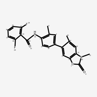 Cc1cc(-c2cc3oc(=O)n(C)c3cc2C)ccc1NC(=O)c1c(F)cccc1F